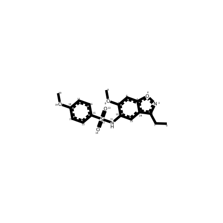 CCc1noc2cc(OC)c(NS(=O)(=O)c3ccc(OC)cc3)cc12